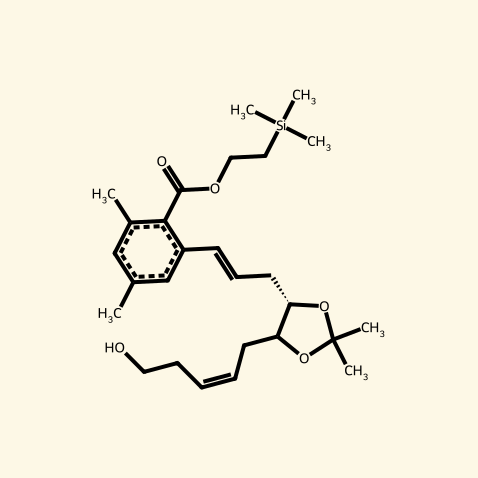 Cc1cc(C)c(C(=O)OCC[Si](C)(C)C)c(/C=C/C[C@@H]2OC(C)(C)OC2C/C=C\CCO)c1